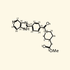 COC(=O)CC1CCN(C(=O)c2ccc(-c3nc4cnccc4[nH]3)cc2)CC1